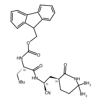 BC1(B)CC[C@@H](C[C@@H](C#N)NC(=O)[C@H](CC(C)(C)C)NC(=O)OCC2c3ccccc3-c3ccccc32)C(=O)N1